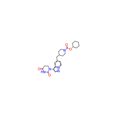 O=C1CCN(c2cnn3ccc(CC4CCN(C(=O)OC5CCCCC5)CC4)cc23)C(=O)N1